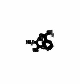 NC(=O)c1cccnc1.O=C(O)C(O)C(O)C(=O)O